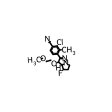 COCCOC1C(c2ccc(C#N)c(Cl)c2C)=NN2CC[C@@H](F)[C@@H]12